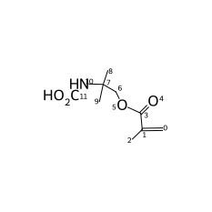 C=C(C)C(=O)OCC(C)(C)NC(=O)O